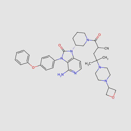 CC(C)(CC(C#N)C(=O)N1CCC[C@@H](n2c(=O)n(-c3ccc(Oc4ccccc4)cc3)c3c(N)nccc32)C1)N1CCN(C2COC2)CC1